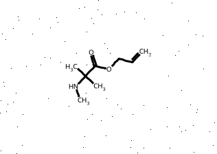 C=CCOC(=O)C(C)(C)NC